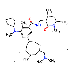 CCCC1CCC(c2cc(C(=O)NCC3C(=O)N(C)C(C)CC3C)c(C)c(N(C)C3CCCC3)c2)CCC(CN(C)C)C1